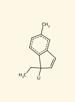 [Li][C]1(CC)C=Cc2cc(C)ccc21